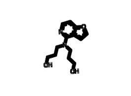 OCCCN(CCCO)c1nccc2occc12